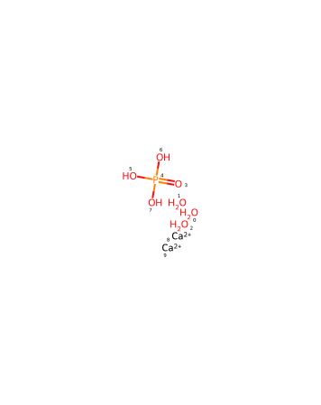 O.O.O.O=P(O)(O)O.[Ca+2].[Ca+2]